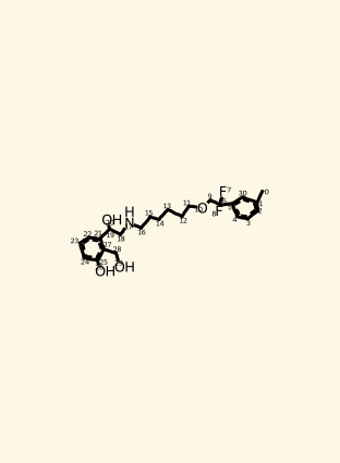 Cc1cccc(C(F)(F)COCCCCCCNCC(O)c2cccc(O)c2CO)c1